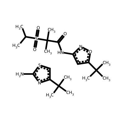 CC(C)(C)c1csc(N)n1.CC(C)S(=O)(=O)C(C)(C)C(=O)Nc1cc(C(C)(C)C)on1